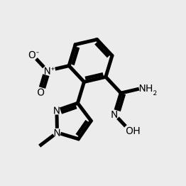 Cn1ccc(-c2c(C(N)=NO)cccc2[N+](=O)[O-])n1